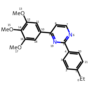 CCc1ccc(-c2nccc(-c3cc(OC)c(OC)c(OC)c3)n2)cc1